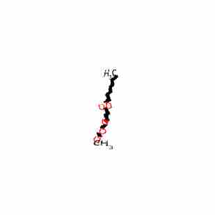 CCCCCCCCCOC(=O)CCCOCCOCCOC